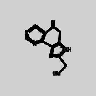 CC(C)(C)Cc1nc2c([nH]1)CNc1cncnc1-2